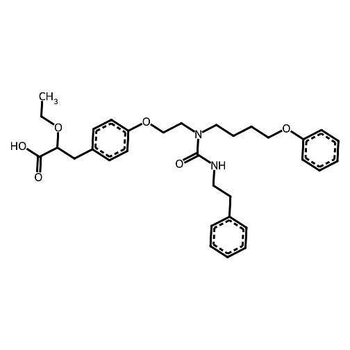 CCOC(Cc1ccc(OCCN(CCCCOc2ccccc2)C(=O)NCCc2ccccc2)cc1)C(=O)O